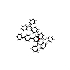 c1ccc(-c2ccc(-c3cccc(-n4c5ccccc5c5ccc6c7ccccc7n(-c7ccc(-c8ccc(N(c9ccccc9)c9ccccc9)cc8)cc7)c6c54)c3)cc2)cc1